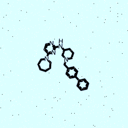 c1ccc(-c2ccc(CN3CCCC(Nc4nccc(N5CCCCCC5)n4)C3)cc2)cc1